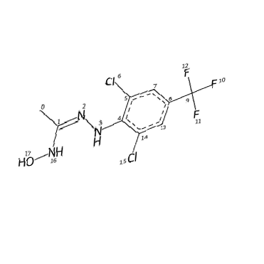 CC(=NNc1c(Cl)cc(C(F)(F)F)cc1Cl)NO